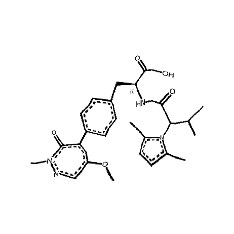 COc1cnn(C)c(=O)c1-c1ccc(C[C@H](NC(=O)C(C(C)C)n2c(C)ccc2C)C(=O)O)cc1